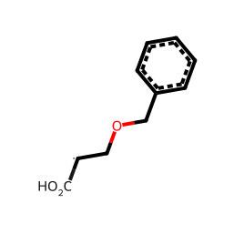 O=C(O)[CH]COCc1ccccc1